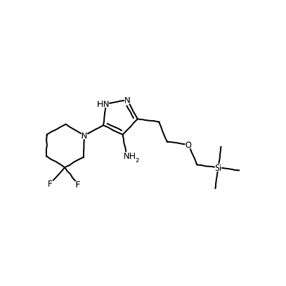 C[Si](C)(C)COCCc1n[nH]c(N2CCCC(F)(F)C2)c1N